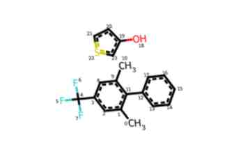 Cc1cc(C(F)(F)F)cc(C)c1-c1ccccc1.Oc1ccsc1